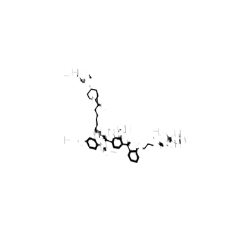 CCN(CC)C1CCN(C(=O)CCCCCOc2cc(C)ccc2N(C)C(=O)c2ccc(C(=O)c3ccccc3OCCCNC(=O)OC(C)(C)C)c(OC)c2N)CC1